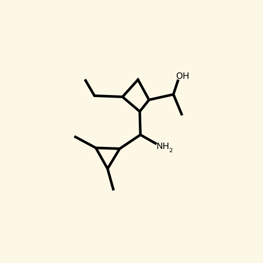 CCC1CC(C(C)O)C1C(N)C1C(C)C1C